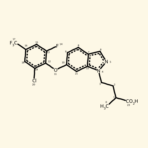 CC(CCn1ncc2ccc(Oc3c(F)cc(C(F)(F)F)cc3Cl)cc21)C(=O)O